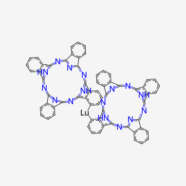 c1ccc2c(c1)-c1nc-2nc2[nH]c(nc3nc(nc4[nH]c(n1)c1ccccc41)-c1ccccc1-3)c1[c]([Lu][c]3cccc4c5nc6nc(nc7[nH]c(nc8nc(nc([nH]5)c34)-c3ccccc3-8)c3ccccc73)-c3ccccc3-6)cccc21